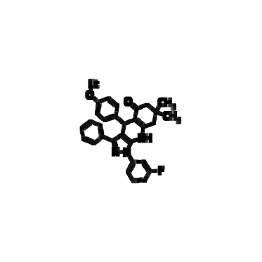 CCOc1ccc(C2C3=C(CC(C)(C)CC3=O)Nc3c2c(-c2ccccc2)nn3-c2cccc(F)c2)cc1